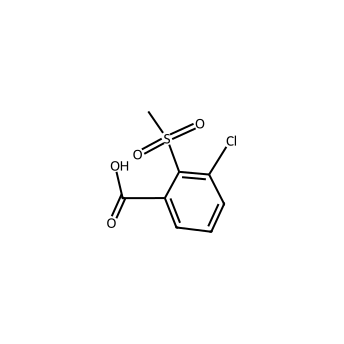 CS(=O)(=O)c1c(Cl)cccc1C(=O)O